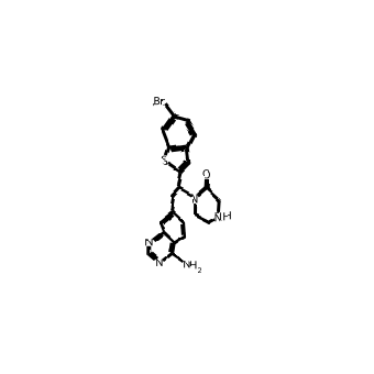 Nc1ncnc2cc(CC(c3cc4ccc(Br)cc4s3)N3CCNCC3=O)ccc12